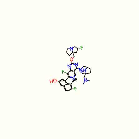 C#Cc1c(F)ccc2cc(O)cc(-c3ncc4c(N5CC6CCC(CN(C)C)(C5)N6)nc(OC[C@@]56CCCN5C[C@H](F)C6)nc4c3F)c12